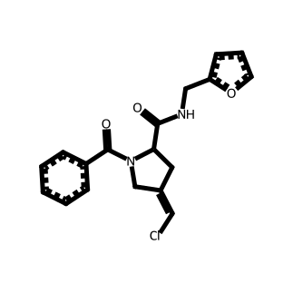 O=C(NCc1ccco1)C1CC(=CCl)CN1C(=O)c1ccccc1